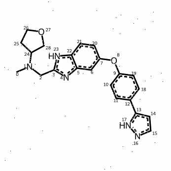 CN(Cc1nc2cc(Oc3ccc(-c4ccn[nH]4)cc3)ccc2[nH]1)C1CCOC1